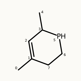 CC1=CC(C)PCC1